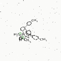 CC1=Cc2c(-c3ccc(C)cc3)cccc2[CH]1[Zr]([Cl])([Cl])([CH]1C(C)=Cc2c(-c3ccc(C)cc3)cccc21)[SiH](C)C